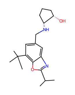 CC(C)c1nc2cc(CN[C@@H]3CCC[C@@H]3O)cc(C(C)(C)C)c2o1